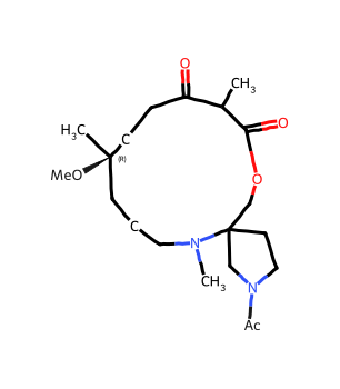 CO[C@]1(C)CCCN(C)C2(CCN(C(C)=O)C2)COC(=O)C(C)C(=O)CC1